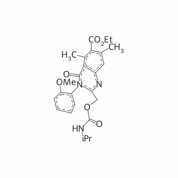 CCOC(=O)c1c(C)cc2nc(COC(=O)NC(C)C)n(-c3ccccc3OC)c(=O)c2c1C